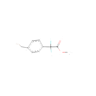 CCCCOC(=O)C(F)(F)c1ccc(CBr)cc1